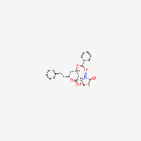 O=C1N[C@H]([C@@]2(O)C[C@H](OC(=O)c3ccccc3)CC(CCc3ccccc3)O2)CS1